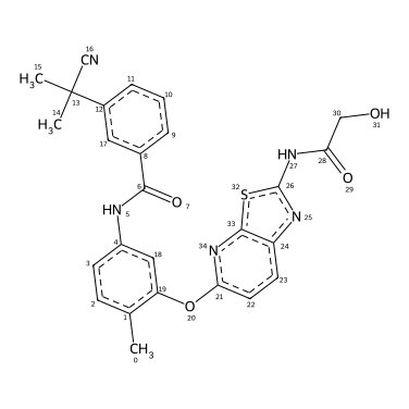 Cc1ccc(NC(=O)c2cccc(C(C)(C)C#N)c2)cc1Oc1ccc2nc(NC(=O)CO)sc2n1